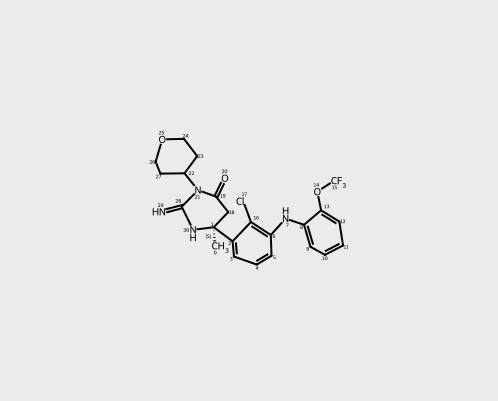 C[C@@]1(c2cccc(Nc3ccccc3OC(F)(F)F)c2Cl)CC(=O)N(C2CCOCC2)C(=N)N1